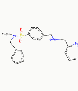 CN(Cc1ccccc1)S(=O)(=O)c1ccc(CNCc2ccccn2)cc1